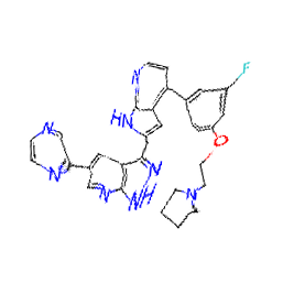 Fc1cc(OCCN2CCCC2)cc(-c2ccnc3[nH]c(-c4n[nH]c5ncc(-c6cnccn6)cc45)cc23)c1